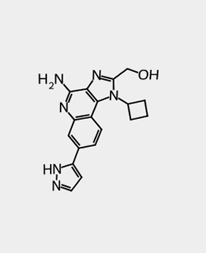 Nc1nc2cc(-c3ccn[nH]3)ccc2c2c1nc(CO)n2C1CCC1